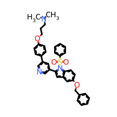 CN(C)CCCOc1ccc(-c2cncc(-c3cc4cc(OCc5ccccc5)ccc4n3S(=O)(=O)c3ccccc3)c2)cc1